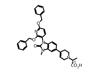 C[C@@H](C(=O)O)N1CC=C(c2ccc3c(c2)n(C)c(=O)n3-c2ccc(OCc3ccccc3)nc2OCc2ccccc2)CC1